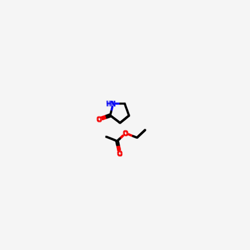 CCOC(C)=O.O=C1CCCN1